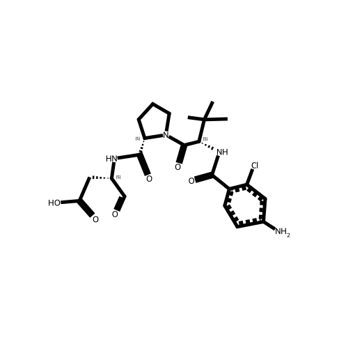 CC(C)(C)[C@H](NC(=O)c1ccc(N)cc1Cl)C(=O)N1CCC[C@H]1C(=O)N[C@H](C=O)CC(=O)O